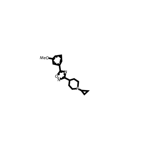 COc1cccc(-c2nc(C3CCN(C4CC4)CC3)no2)c1